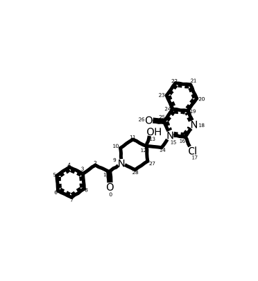 O=C(Cc1ccccc1)N1CCC(O)(Cn2c(Cl)nc3ccccc3c2=O)CC1